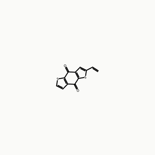 C=Cc1cc2c(s1)C(=O)c1ccsc1C2=O